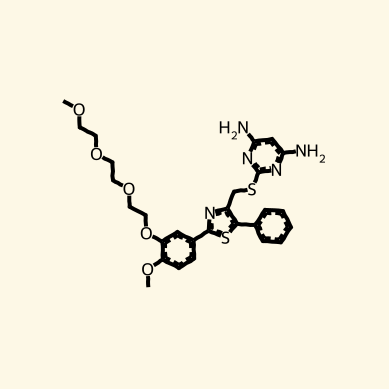 COCCOCCOCCOc1cc(-c2nc(CSc3nc(N)cc(N)n3)c(-c3ccccc3)s2)ccc1OC